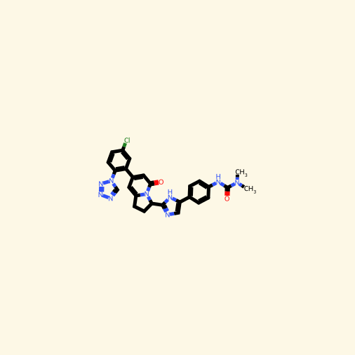 CN(C)C(=O)Nc1ccc(-c2cnc(C3CCc4cc(-c5cc(Cl)ccc5-n5cnnn5)cc(=O)n43)[nH]2)cc1